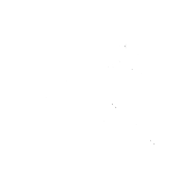 CC(c1cccnc1)N(C)C(=O)c1ccc(C(=O)C(F)(F)F)s1.O=C(O)C(F)(F)F